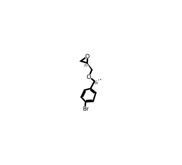 C[C@@H](OC[C@H]1CO1)c1ccc(Br)cc1